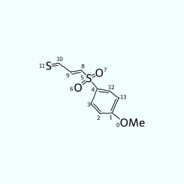 COc1ccc(S(=O)(=O)C=CC=S)cc1